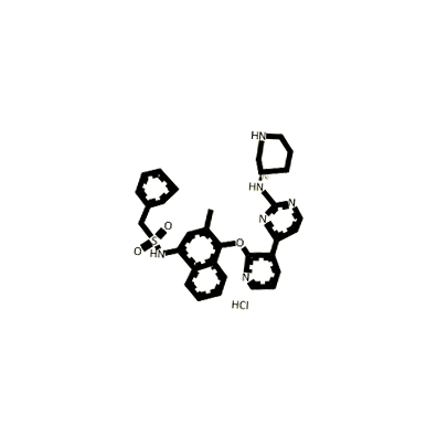 Cc1cc(NS(=O)(=O)Cc2ccccc2)c2ccccc2c1Oc1ncccc1-c1ccnc(N[C@H]2CCCNC2)n1.Cl